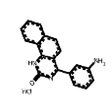 Cl.Nc1cccc(-c2nc(=O)[nH]c3c2ccc2ccccc23)c1